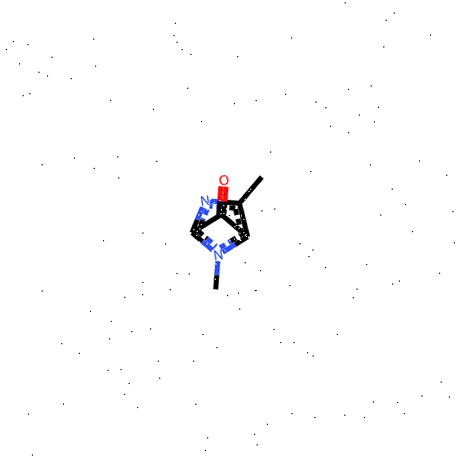 Cc1nc2n(C)c1C2=O